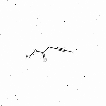 CC#CCC(=O)OCC